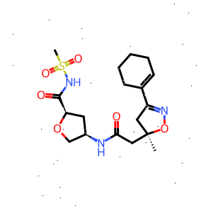 C[C@]1(CC(=O)N[C@H]2CO[C@@H](C(=O)NS(C)(=O)=O)C2)CC(C2=CCCCC2)=NO1